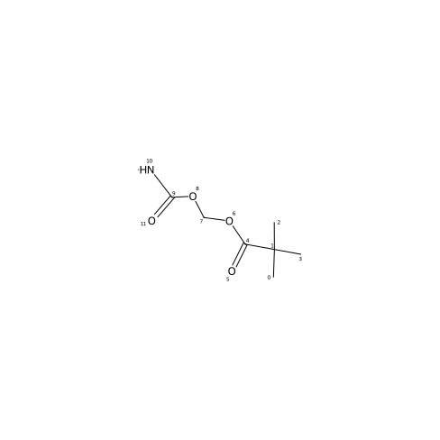 CC(C)(C)C(=O)OCOC([NH])=O